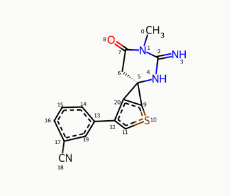 CN1C(=N)N[C@@]2(CC1=O)c1scc(-c3cccc(C#N)c3)c12